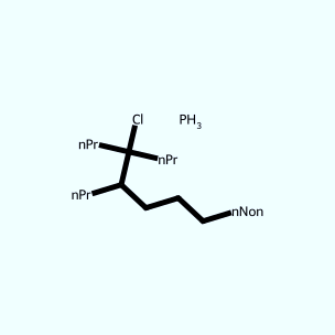 CCCCCCCCCCCCC(CCC)C(Cl)(CCC)CCC.P